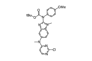 COc1ccc(N(C(=O)OC(C)(C)C)c2nc3cc(N(C)c4ccnc(Cl)n4)ccc3n2C)cc1